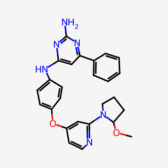 COC1CCCN1c1cc(Oc2ccc(Nc3cc(-c4ccccc4)nc(N)n3)cc2)ccn1